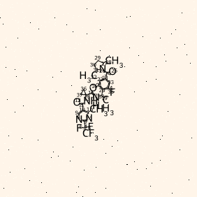 Cc1nc(C(F)(F)C(F)(F)F)ncc1C(=O)NC1(C(=O)N[C@H](C)c2ccc(C(=O)N3[C@H](C)CC[C@@H]3C)cc2F)CC1